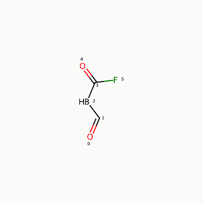 O=CBC(=O)F